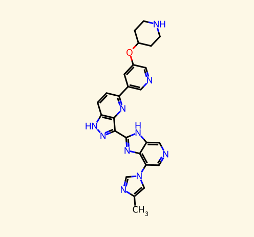 Cc1cn(-c2cncc3[nH]c(-c4n[nH]c5ccc(-c6cncc(OC7CCNCC7)c6)nc45)nc23)cn1